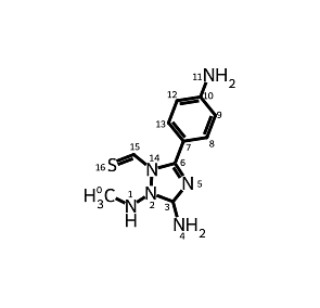 CNN1C(N)N=C(c2ccc(N)cc2)N1C=S